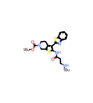 CC(C)(C)NCCC(=O)Nc1sc2c(c1-c1nc3ccccc3s1)CCN(C(=O)OC(C)(C)C)C2